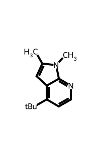 Cc1cc2c(C(C)(C)C)ccnc2n1C